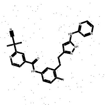 CC(C)(C#N)c1cc(C(=O)Nc2ccc(F)c(CCc3cc(Nc4cnccn4)[nH]n3)c2)ccn1